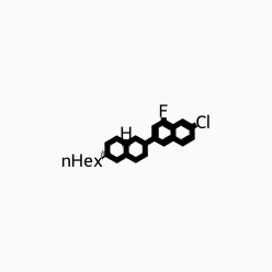 CCCCCC[C@@H]1CC[C@@H]2CC(c3cc(F)c4cc(Cl)ccc4c3)CCC2C1